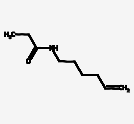 C=CCCCCNC(=O)CC